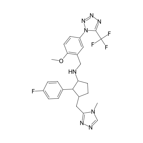 COc1ccc(-n2nnnc2C(F)(F)F)cc1CNC1CCC(Cc2nncn2C)C1c1ccc(F)cc1